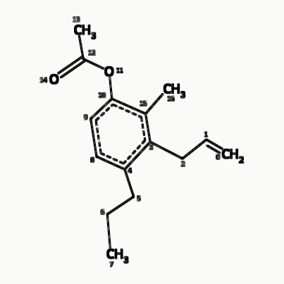 C=CCc1c(CCC)ccc(OC(C)=O)c1C